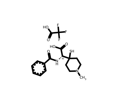 CN1CCC(S)([C@H](NC(=O)c2ccccc2)C(=O)O)CC1.O=C(O)C(F)(F)F